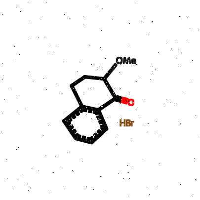 Br.COC1CCc2ccccc2C1=O